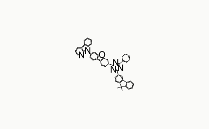 CC1(C)c2ccccc2-c2cc(-c3nc(C4=CC=CCC4)nc(C4C=Cc5c(oc6cc(-n7c8ccccc8c8cccnc87)ccc56)C4)n3)ccc21